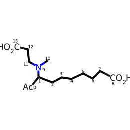 CC(=O)C(CCCCCCC(=O)O)N(C)CCC(=O)O